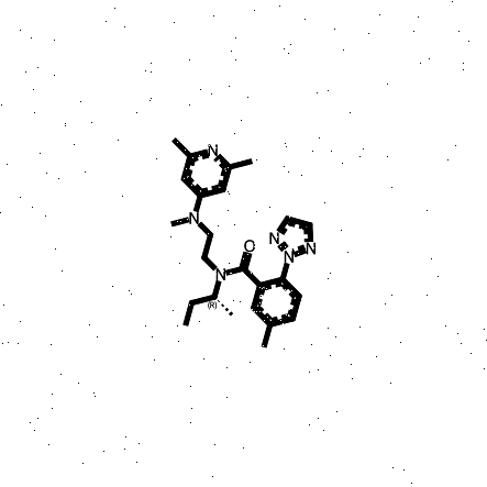 CC[C@@H](C)N(CCN(C)c1cc(C)nc(C)c1)C(=O)c1cc(C)ccc1-n1nccn1